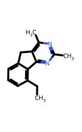 CCc1cccc2c1-c1nc(C)nc(C)c1C2